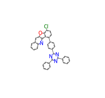 Clc1ccc(-c2ccc(-c3nc(-c4ccccc4)nc(-c4ccccc4)n3)cc2)c2c1oc1cc3ccccc3nc12